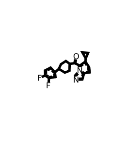 O=C(c1c(C2CC2)ccc2cncn12)C1CCC(c2ccc(F)c(F)c2)CC1